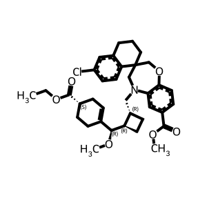 CCOC(=O)[C@@H]1CC=C([C@H](OC)[C@@H]2CC[C@H]2CN2CC3(CCCc4cc(Cl)ccc43)COc3ccc(C(=O)OC)cc32)CC1